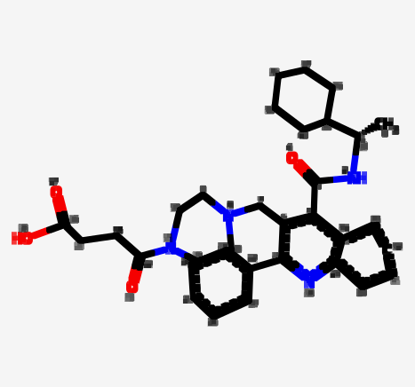 C[C@H](NC(=O)c1c(CN2CCN(C(=O)CCC(=O)O)CC2)c(-c2ccccc2)nc2ccccc12)C1CCCCC1